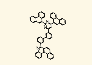 c1cc(-c2cccc(-c3nc4ccccc4c4c3ccc3ccccc34)c2)cc(-c2cc(-c3cc4ccccc4c4ccccc34)nc(-c3cc4ccccc4c4ccccc34)n2)c1